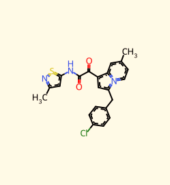 Cc1ccn2c(Cc3ccc(Cl)cc3)cc(C(=O)C(=O)Nc3cc(C)ns3)c2c1